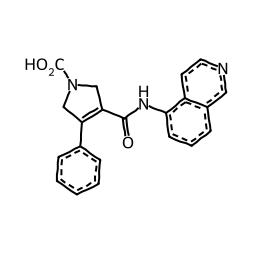 O=C(Nc1cccc2cnccc12)C1=C(c2ccccc2)CN(C(=O)O)C1